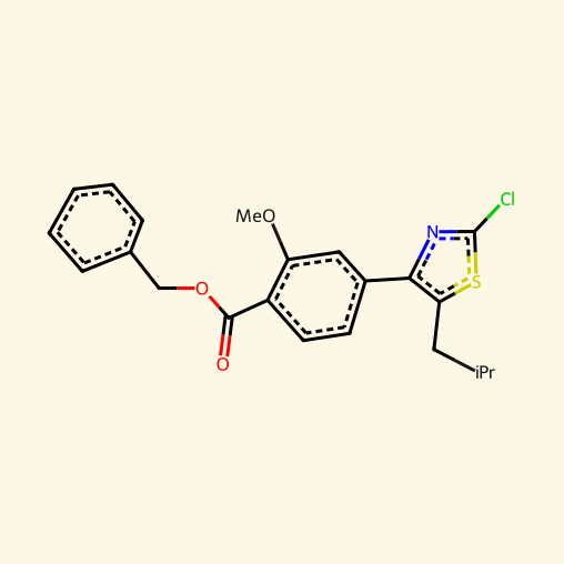 COc1cc(-c2nc(Cl)sc2CC(C)C)ccc1C(=O)OCc1ccccc1